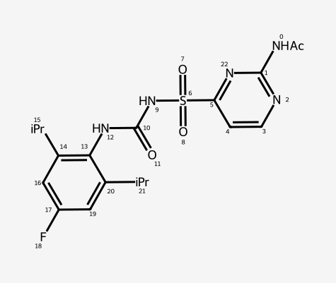 CC(=O)Nc1nccc(S(=O)(=O)NC(=O)Nc2c(C(C)C)cc(F)cc2C(C)C)n1